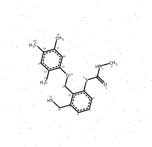 CNC(=O)Sc1cccc(CS)c1COc1cc(C)c(C)cc1C